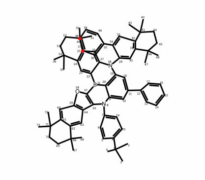 CC(C)(C)c1ccc(N2c3cc(-c4ccccc4)cc4c3B(c3cc5c(cc3N4c3cc4c(cc3-c3ccccc3)C(C)(C)CCC4(C)C)C(C)(C)CCC5(C)C)c3oc4cc5c(cc4c32)C(C)(C)CCC5(C)C)cc1